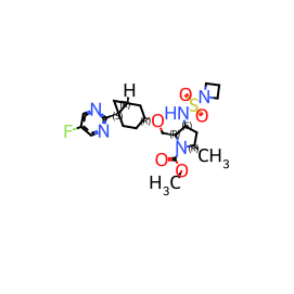 COC(=O)N1[C@H](C)C[C@H](NS(=O)(=O)N2CCC2)[C@@H]1CO[C@@H]1CC[C@]2(c3ncc(F)cn3)C[C@@H]2C1